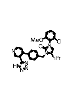 CCCc1cn(-c2c(Cl)cccc2OC)c(=O)n1Cc1ccc(-c2ccncc2-c2nnn[nH]2)cc1